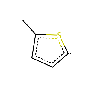 [CH2]c1cc[c]s1